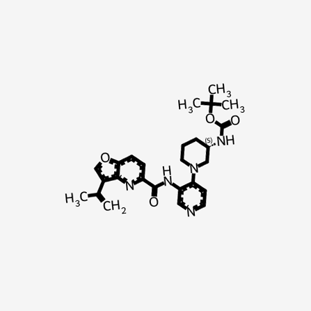 C=C(C)c1coc2ccc(C(=O)Nc3cnccc3N3CCC[C@H](NC(=O)OC(C)(C)C)C3)nc12